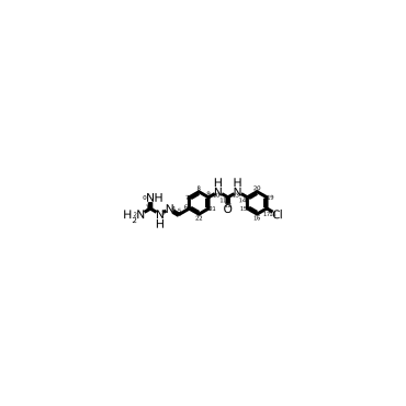 N=C(N)N/N=C/c1ccc(NC(=O)Nc2ccc(Cl)cc2)cc1